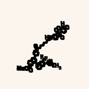 COC(=O)N1CCc2cc(C3CCN(C(=O)CCCCCCCNc4ccc5c(c4)C(=O)N(C4CCC(=O)NC4=O)C5=O)CC3)cc(N3CCCc4cc(-c5cnn(C)c5)c(C(F)F)cc43)c2C1